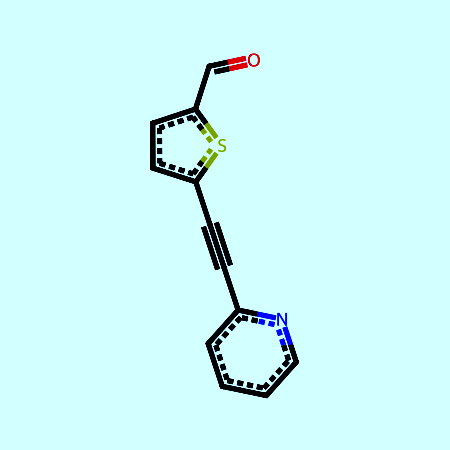 O=Cc1ccc(C#Cc2ccccn2)s1